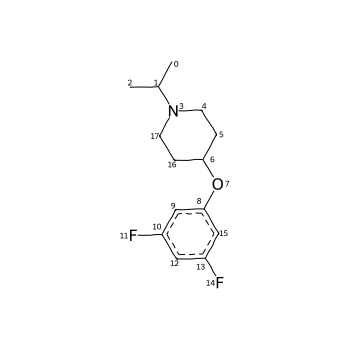 CC(C)N1CCC(Oc2cc(F)cc(F)c2)CC1